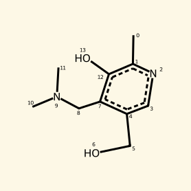 Cc1ncc(CO)c(CN(C)C)c1O